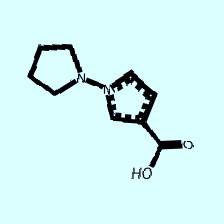 O=C(O)c1ccn(N2CCCC2)c1